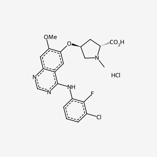 COc1cc2ncnc(Nc3cccc(Cl)c3F)c2cc1O[C@H]1C[C@H](C(=O)O)N(C)C1.Cl